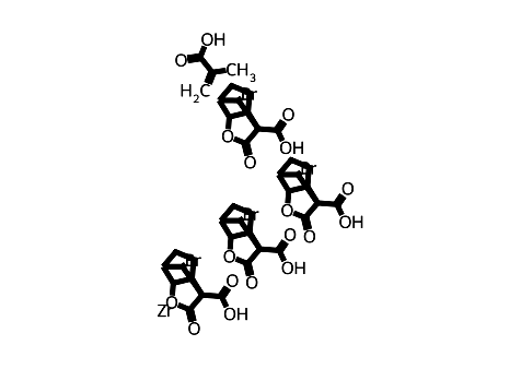 C=C(C)C(=O)O.O=C(O)C12C(=O)OC3C(CCC31)C2Br.O=C(O)C12C(=O)OC3C(CCC31)C2Br.O=C(O)C12C(=O)OC3C(CCC31)C2Br.O=C(O)C12C(=O)OC3C(CCC31)C2Br.[Zr]